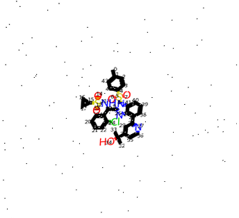 Cc1ccc(S(=O)(=O)n2c([C@H](NS(=O)(=O)C3CC3)c3ccccc3Cl)nc3c(-c4cc(C(C)(C)O)ccn4)cccc32)cc1